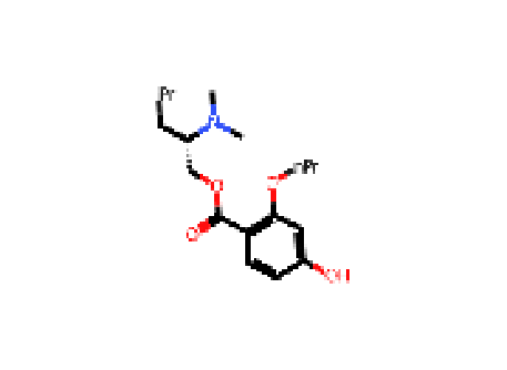 CCCOc1cc(O)ccc1C(=O)OC[C@H](CC(C)C)N(C)C